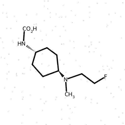 CN(CCF)[C@H]1CC[C@H](NC(=O)O)CC1